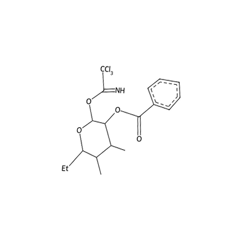 CCC1OC(OC(=N)C(Cl)(Cl)Cl)C(OC(=O)c2ccccc2)C(C)C1C